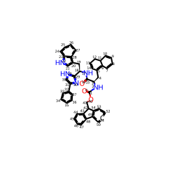 O=C(N[C@H](CC1=C2C=CC=CC2CC=C1)C(=O)N[C@H](Cc1c[nH]c2ccccc12)c1nc(-c2ccccc2)c[nH]1)OCC1c2ccccc2-c2ccccc21